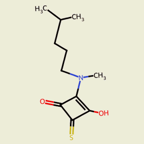 CC(C)CCCN(C)c1c(O)c(=S)c1=O